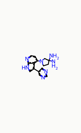 NC1(N)CCN(c2ccnc3[nH]cc(-c4cncnc4)c23)C1